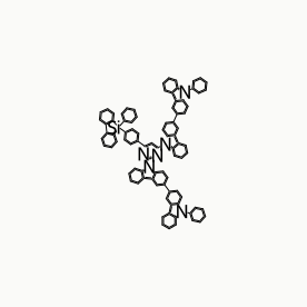 c1ccc(-n2c3ccccc3c3cc(-c4ccc5c(c4)c4ccccc4n5-c4cc(-c5ccc([Si]6(c7ccccc7)c7ccccc7-c7ccccc76)cc5)nc(-n5c6ccccc6c6cc(-c7ccc8c(c7)c7ccccc7n8-c7ccccc7)ccc65)n4)ccc32)cc1